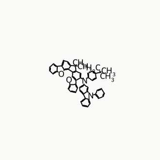 CC(C)(C)c1ccc(N(c2ccc3c4ccccc4n(-c4ccccc4)c3c2)c2cc3c(c4oc5ccccc5c24)-c2c(ccc4c2oc2ccccc24)C3(C)C)cc1